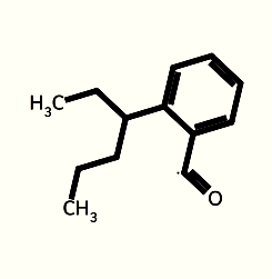 CCCC(CC)c1ccccc1[C]=O